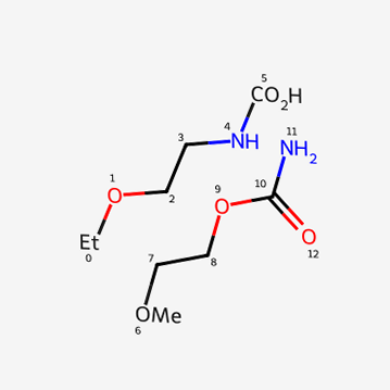 CCOCCNC(=O)O.COCCOC(N)=O